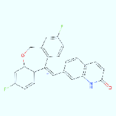 O=c1ccc2ccc(/C=C3\c4ccc(F)cc4COC4C=C(F)C=CC34)cc2[nH]1